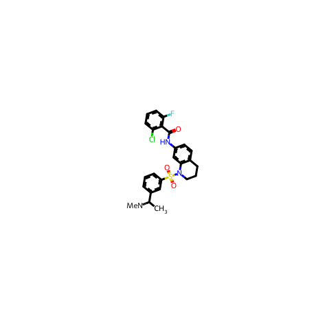 CNC(C)c1cccc(S(=O)(=O)N2CCCc3ccc(NC(=O)c4c(F)cccc4Cl)cc32)c1